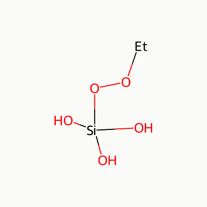 CCOO[Si](O)(O)O